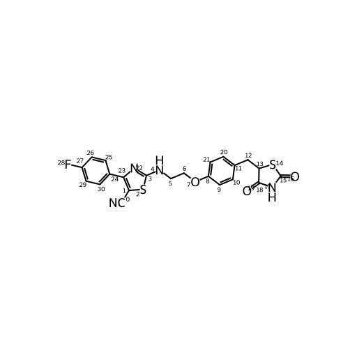 N#Cc1sc(NCCOc2ccc(CC3SC(=O)NC3=O)cc2)nc1-c1ccc(F)cc1